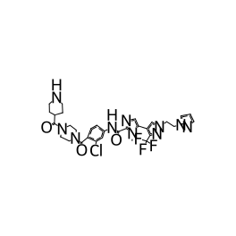 Cn1c(-c2cn(CCn3cccn3)nc2C(F)(F)F)cnc1C(=O)Nc1ccc(C(=O)N2CCN(C(=O)C3CCNCC3)CC2)c(Cl)c1